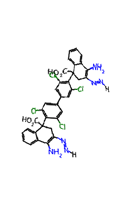 [H]/N=N/C1=C(N)c2ccccc2C(C(=O)O)(c2c(Cl)cc(-c3cc(Cl)c(C4(C(=O)O)CC(/N=N/[H])=C(N)c5ccccc54)c(Cl)c3)cc2Cl)C1